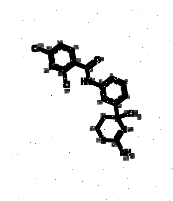 CC1(c2cccc(NC(=O)c3ccc(Cl)nc3Cl)c2)CCSC(N)=N1